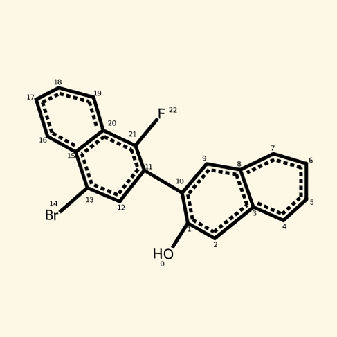 Oc1cc2ccccc2cc1-c1cc(Br)c2ccccc2c1F